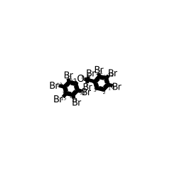 Brc1ccc(C(Br)(Br)Oc2c(Br)c(Br)c(Br)c(Br)c2Br)c(Br)c1Br